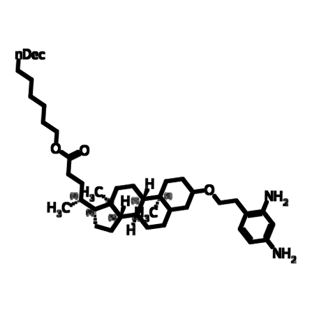 CCCCCCCCCCCCCCCCOC(=O)CC[C@@H](C)[C@H]1CC[C@H]2[C@@H]3CCC4CC(OCCc5ccc(N)cc5N)CC[C@]4(C)[C@H]3CC[C@]12C